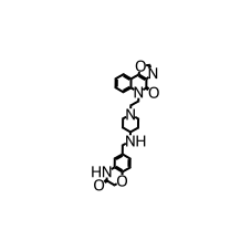 O=C1COc2ccc(CNC3CCN(CCn4c(=O)c5ncoc5c5ccccc54)CC3)cc2N1